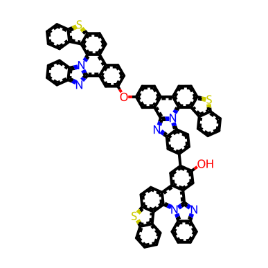 Oc1cc2c(cc1-c1ccc3c(c1)nc1c4cc(Oc5ccc6c(c5)c5nc7ccccc7n5c5c6ccc6sc7ccccc7c65)ccc4c4ccc5sc6ccccc6c5c4n31)c1ccc3sc4ccccc4c3c1n1c3ccccc3nc21